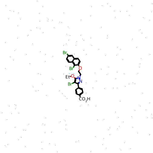 CCOc1c(Br)c(-c2ccc(C(=O)O)cc2)nn1CCOc1ccc2cc(Br)ccc2c1Br